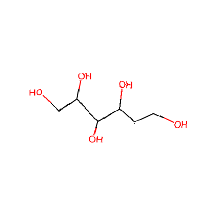 OC[CH]C(O)C(O)C(O)CO